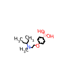 CCC(CC)N(C)CCOc1ccc(B(O)O)cc1